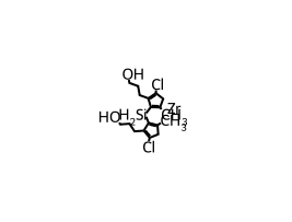 CC1=C([SiH2]C2=C(C)CC(Cl)=C2CCCO)C(CCCO)=C(Cl)C1.[Zr]